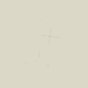 C[S+]([O-])C(F)(F)S(=O)OB(C(F)(F)F)C(F)(F)F